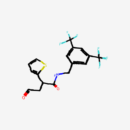 O=CCC(C(=O)NCc1cc(C(F)(F)F)cc(C(F)(F)F)c1)c1cccs1